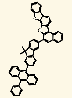 CC1(C)c2ccc(-c3cc4ccccc4c4c3oc3c4ccc4c5ccccc5oc43)cc2-c2ccc(-c3c4ccccc4c(-c4ccccc4)c4ccccc34)cc21